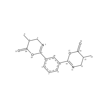 CC1CN=C(c2cccc(C3=NCC(C)C(=O)O3)c2)OC1=O